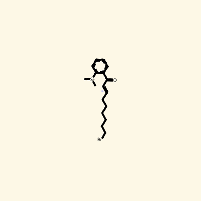 C[Si](C)c1ccccc1C(=O)/C=C/CCCCCCBr